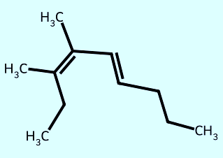 CCCC=CC(C)=C(C)CC